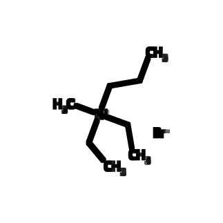 CCC[N+](C)(CC)CC.[Br-]